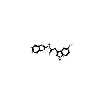 O=C(Cc1c[nH]c2ccc(F)cc12)Nc1nc2ccccc2s1